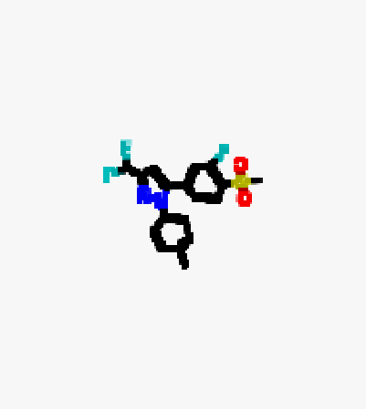 Cc1ccc(-n2nc(C(F)F)cc2-c2ccc(S(C)(=O)=O)c(F)c2)cc1